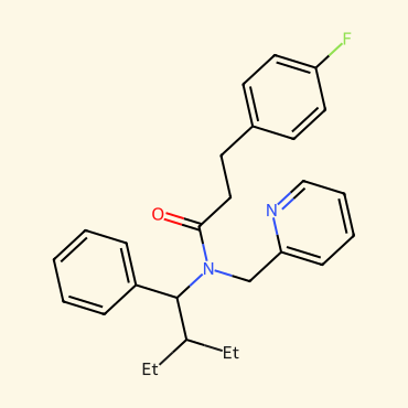 CCC(CC)C(c1ccccc1)N(Cc1ccccn1)C(=O)CCc1ccc(F)cc1